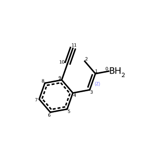 B/C(C)=C/c1ccccc1C#C